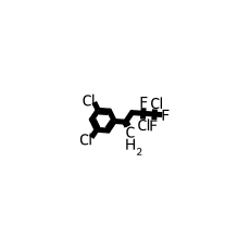 C=C(CC(F)(Cl)C(F)(F)Cl)c1cc(Cl)cc(Cl)c1